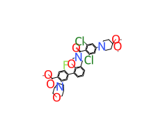 COC(=O)c1cc(F)c(-c2cccc3c2OCN(C(=O)c2c(Cl)cc(N4CCC(OC)(OC)CC4)cc2Cl)C3)cc1N1C2CCC1COC2